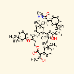 CC(CCOC(=O)C(C(C)O)C1CCCC(C)(C(C)C)C1)OC1CCCC(C)(C(C)C)C1.CC(O)CC(C(=O)O)C1CCCC(C)(C(C)C)C1.CCNC(=O)CC1CCCC(C)(C(C)C)C1